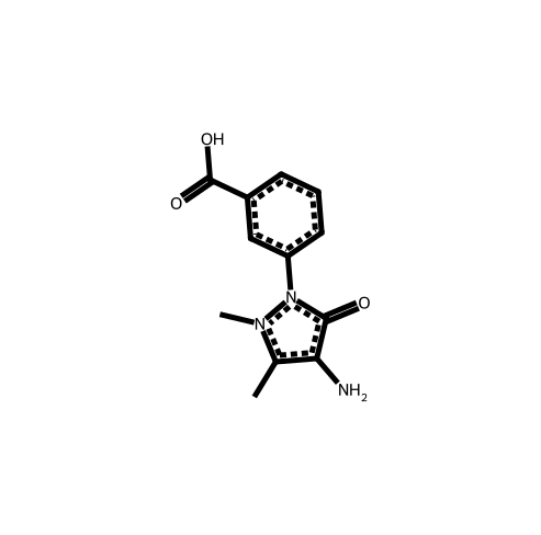 Cc1c(N)c(=O)n(-c2cccc(C(=O)O)c2)n1C